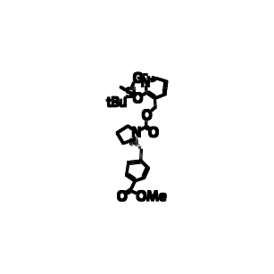 COC(=O)c1ccc(C[C@@H]2CCCN2C(=O)OCc2ccc[n+]([O-])c2O[Si](C)(C)C(C)(C)C)cc1